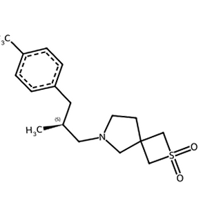 C[C@@H](Cc1ccc(C(F)(F)F)cc1)CN1CCC2(C1)CS(=O)(=O)C2